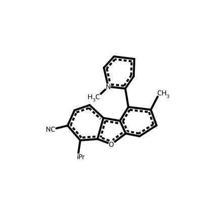 Cc1ccc2oc3c(C(C)C)c(C#N)ccc3c2c1-c1cccc[n+]1C